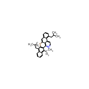 Cc1c2c(c(CC(C)C)c3ccccc13)Sc1cc3cccc(CC(C)C)c3c3cc[n+](C)c-2c13